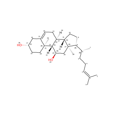 CC(C)=CCC[C@@H](C)[C@H]1CC[C@H]2[C@@H]3CC=C4C[C@@H](O)CC[C@]4(C)[C@H]3[C@H](O)C[C@]12C